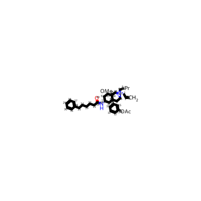 C=CC[N@@+]1(CC(C)C)CC[C@]2(c3cccc(OC(C)=O)c3)C[C@H](NC(=O)CCCCCc3ccccc3)CCC2(OC)C1